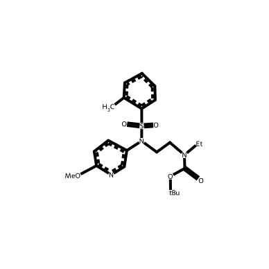 CCN(CCN(c1ccc(OC)nc1)S(=O)(=O)c1ccccc1C)C(=O)OC(C)(C)C